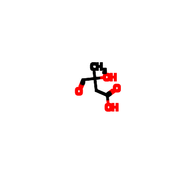 CC(O)(C=O)CC(=O)O